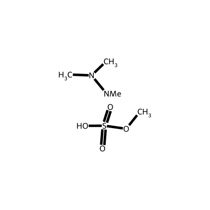 CNN(C)C.COS(=O)(=O)O